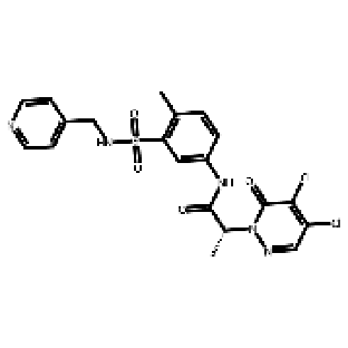 Cc1ccc(NC(=O)[C@@H](C)n2ncc(Cl)c(Cl)c2=O)cc1S(=O)(=O)NCc1ccncc1